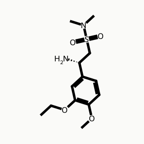 CCOc1cc([C@H](N)CS(=O)(=O)N(C)C)ccc1OC